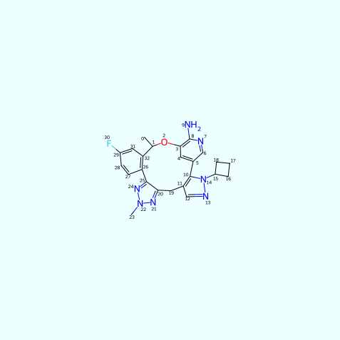 CC1Oc2cc(cnc2N)-c2c(cnn2C2CCC2)Cc2nn(C)nc2-c2ccc(F)cc21